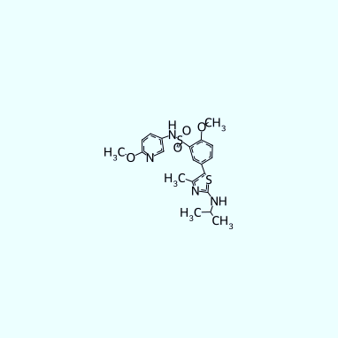 COc1ccc(NS(=O)(=O)c2cc(-c3sc(NC(C)C)nc3C)ccc2OC)cn1